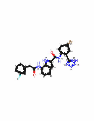 O=C(Cc1cccc(F)c1)Nc1cccc2cc(C(=O)Nc3ccc(Br)cc3-c3nnn[nH]3)[nH]c12